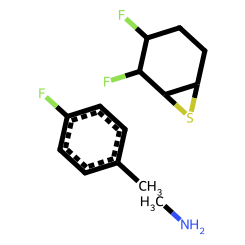 CN.Cc1ccc(F)cc1.FC1CCC2SC2C1F